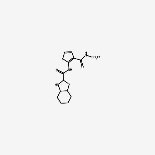 CCOC(=O)NC(=O)c1ccsc1NC(=O)C1NC2CCCCC2S1